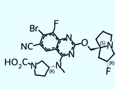 CN(c1nc(OC[C@@]23CCCN2C[C@H](F)C3)nc2c(F)c(Br)c(C#N)cc12)[C@@H]1CCN(C(=O)O)C1